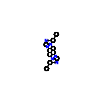 N#Cc1cc(-c2ccccc2)ccc1N(C1=C2C=Cc3ccc(N(c4ccccn4)c4ccc(-c5ccccc5)cc4C#N)c4c3C2C(C=C1)C=C4)c1ccccn1